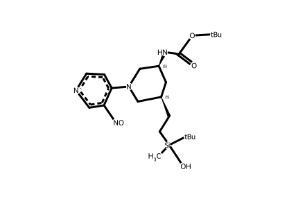 CC(C)(C)OC(=O)N[C@H]1C[C@@H](CC[Si](C)(O)C(C)(C)C)CN(c2ccncc2N=O)C1